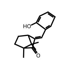 CC12CCC(C(=Cc3ccccc3O)C1=O)C2(C)C